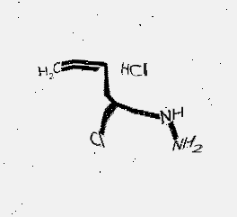 C=CC(Cl)NN.Cl